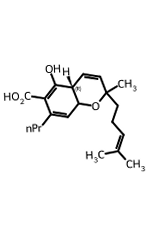 CCCC1=CC2OC(C)(CCC=C(C)C)C=C[C@H]2C(O)=C1C(=O)O